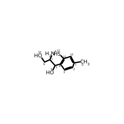 Cc1ccc(C(O)C(N)CO)c(S)c1